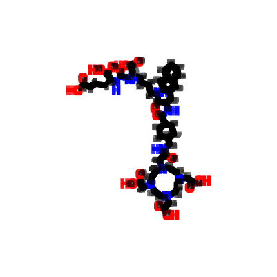 O=C(O)CCC[C@H](NC(=O)N[C@@H](CCCCNC(=O)C(Cc1ccc2ccccc2c1)NC(=O)C1CCC(CNC(=O)CN2CCN(CC(=O)O)CCN(CC(=O)O)CCN(CC(=O)O)CC2)CC1)C(=O)O)C(=O)O